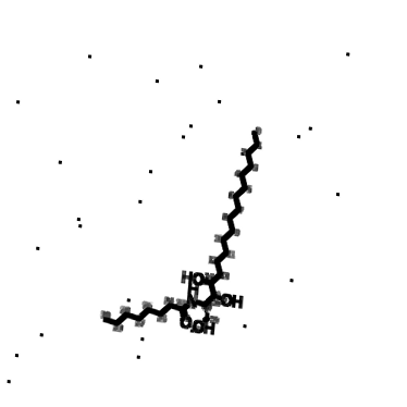 CCCCCCCCCCCCCCC(O)[C@@H](O)[C@H](CO)NC(=O)CCCCCCC